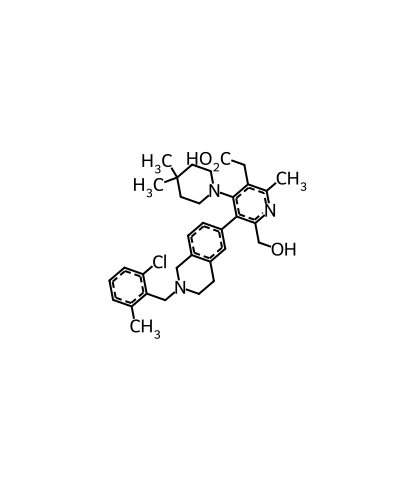 Cc1cccc(Cl)c1CN1CCc2cc(-c3c(CO)nc(C)c(CC(=O)O)c3N3CCC(C)(C)CC3)ccc2C1